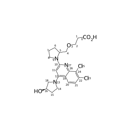 O=C(O)CCOCC1CCCN1c1cc(N2CC[C@@H](O)C2)c2ccc(Cl)c(Cl)c2n1